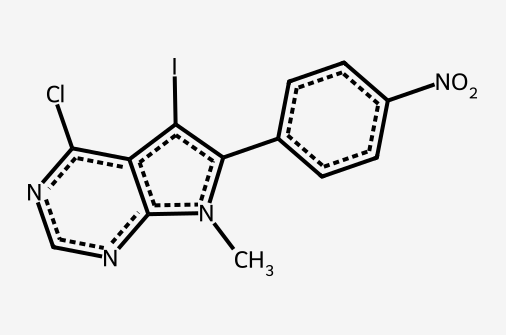 Cn1c(-c2ccc([N+](=O)[O-])cc2)c(I)c2c(Cl)ncnc21